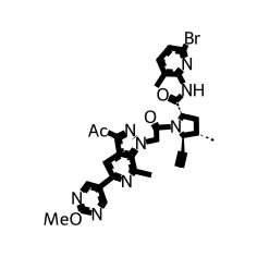 C#C[C@@H]1[C@@H](C)C[C@@H](C(=O)Nc2nc(Br)ccc2C)N1C(=O)Cn1nc(C(C)=O)c2cc(-c3cnc(OC)nc3)nc(C)c21